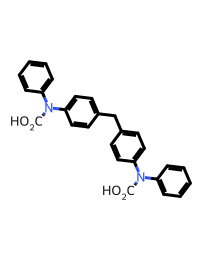 O=C(O)N(c1ccccc1)c1ccc(Cc2ccc(N(C(=O)O)c3ccccc3)cc2)cc1